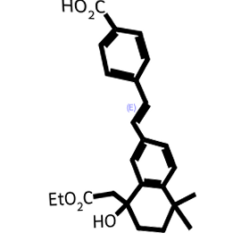 CCOC(=O)CC1(O)CCC(C)(C)c2ccc(/C=C/c3ccc(C(=O)O)cc3)cc21